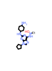 CCN(O)Nc1nc(NC2CCC(N)CC2)nc2c1ncn2C1CCCC1